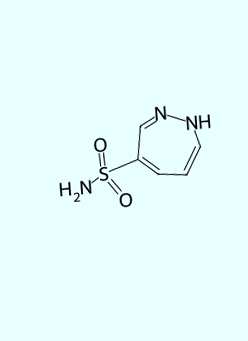 NS(=O)(=O)C1=CC=CNN=C1